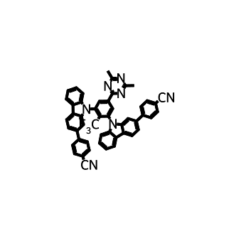 Cc1nc(C)nc(-c2cc(-n3c4ccccc4c4ccc(-c5ccc(C#N)cc5)cc43)c(C(F)(F)F)c(-n3c4ccccc4c4ccc(-c5ccc(C#N)cc5)cc43)c2)n1